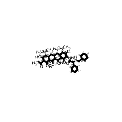 CN(C)c1c(Cl)c(NC(=O)C(NCc2ccccc2)c2ccccc2)c(O)c2c1CC1CC3[C@H](N(C)C)C(O)=C(C(N)=O)C(=O)C3(O)C(O)=C1C2=O